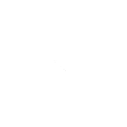 [Ag].[Co].[Cu].[Mg].[Ni].[Si]